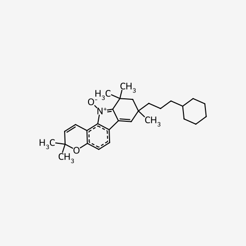 CC1(CCCC2CCCCC2)C=C2C(=[N+]([O-])c3c2ccc2c3C=CC(C)(C)O2)C(C)(C)C1